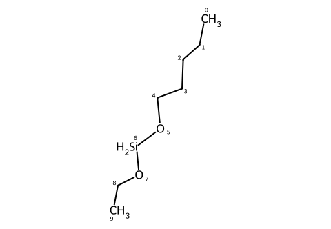 CCCCCO[SiH2]OCC